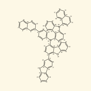 c1ccc2cc(-c3ccc(N(c4ccc(-c5ccc6c(c5)sc5ccccc56)c5oc6ccccc6c45)c4cccc5c4c4ccccc4n5-c4cccc5ccccc45)cc3)ccc2c1